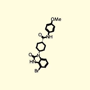 COc1ccc(NC(=O)[C@H]2CC[C@@H](n3c(=O)[nH]c4c(Br)cccc43)CC2)cc1